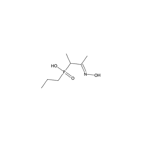 CCCP(=O)(O)C(C)C(C)=NO